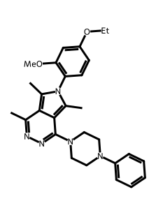 CCOc1ccc(-n2c(C)c3c(C)nnc(N4CCN(c5ccccc5)CC4)c3c2C)c(OC)c1